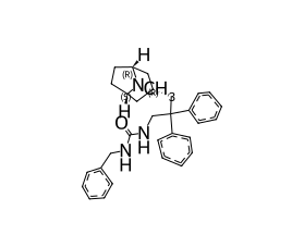 CN1[C@@H]2CC[C@H]1C[C@@H](CC(CNC(=O)NCc1ccccc1)(c1ccccc1)c1ccccc1)C2